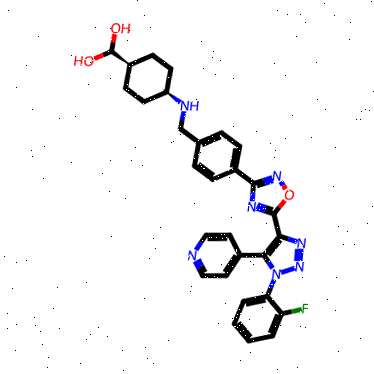 OC(O)[C@H]1CC[C@@H](NCc2ccc(-c3noc(-c4nnn(-c5ccccc5F)c4-c4ccncc4)n3)cc2)CC1